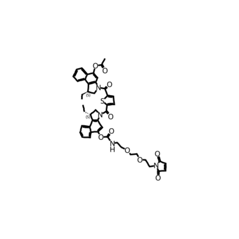 CC[C@@H]1CN(C(=O)c2ccc(C(=O)N3C[C@@H](CC)c4c3cc(OC(=O)NCCOCCOCCN3C(=O)C=CC3=O)c3ccccc43)s2)c2cc(OC(C)=O)c3ccccc3c21